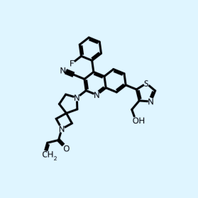 C=CC(=O)N1CC2(CCN(c3nc4cc(-c5scnc5CO)ccc4c(-c4ccccc4F)c3C#N)C2)C1